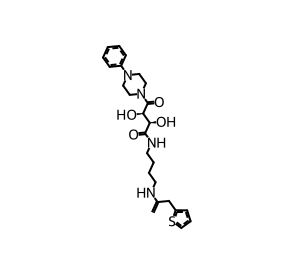 C=C(Cc1cccs1)NCCCCNC(=O)[C@H](O)[C@@H](O)C(=O)N1CCN(c2ccccc2)CC1